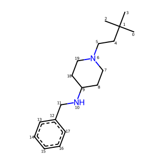 CC(C)(C)CCN1CCC(NCc2ccccc2)CC1